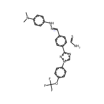 CN(C)c1ccc(N/N=C/c2ccc(-c3ncn(-c4ccc(OC(F)(F)F)cc4)n3)cc2)cc1.NC=S